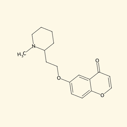 CN1CCCCC1CCOc1ccc2occc(=O)c2c1